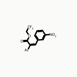 CC(=O)C(=Cc1cccc([N+](=O)[O-])c1)C(=O)OCC(F)(F)F